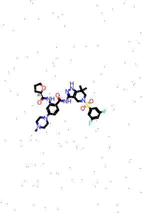 CN1CCN(c2ccc(C(=O)Nc3n[nH]c4c3CN(S(=O)(=O)c3cc(F)cc(F)c3)CC4(C)C)c(NC(=O)[C@H]3CCCO3)c2)CC1